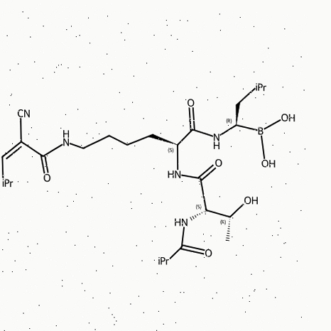 CC(C)C=C(C#N)C(=O)NCCCC[C@H](NC(=O)[C@@H](NC(=O)C(C)C)[C@@H](C)O)C(=O)N[C@@H](CC(C)C)B(O)O